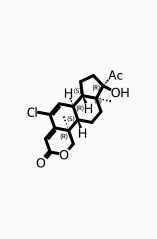 CC(=O)[C@@]1(O)CC[C@H]2[C@@H]3C=C(Cl)C4=CC(=O)OC[C@]4(C)[C@H]3CC[C@@]21C